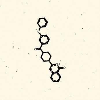 O=C(c1cccc(OC2=C=C=CC=C2)c1)C1CCC(c2cc3ccccc3c(=O)[nH]2)CC1